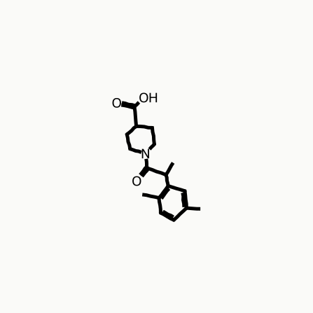 Cc1ccc(C)c(C(C)C(=O)N2CCC(C(=O)O)CC2)c1